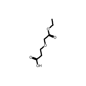 CCOC(=O)COCCC(=O)O